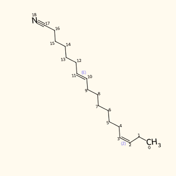 CC/C=C\CCCCCC/C=C/CCCCCC#N